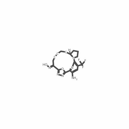 Nc1cc(C(F)(F)F)c2nc1-c1nnc(o1)C(=NO)CCCCC[C@@H]1CCCN21